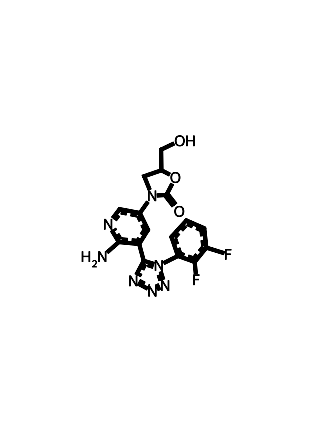 Nc1ncc(N2CC(CO)OC2=O)cc1-c1nnnn1-c1cccc(F)c1F